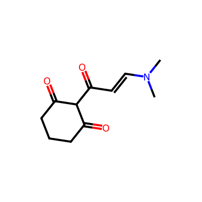 CN(C)/C=C/C(=O)C1C(=O)CCCC1=O